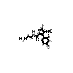 [C-]#[N+]c1c(I)sc(C(=O)NCCN)c1-c1ccc(Cl)cc1Cl